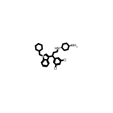 N[C@H]1CC[C@H](NCCC(c2cc(Cl)cc(Cl)c2)c2cn(CC3CCCCC3)c3ccccc23)CC1